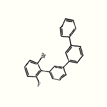 Fc1cccc(Br)c1-c1cccc(-c2cccc(-c3ccccc3)c2)c1